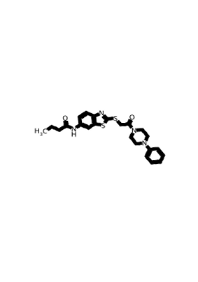 CCCC(=O)Nc1ccc2nc(SCC(=O)N3CCN(c4ccccc4)CC3)sc2c1